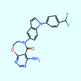 Nc1ncnc2c1C(=O)N(c1ccc3c(ccn3-c3ccc(C(F)F)cc3)c1)CCO2